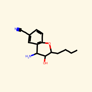 CCCCC1Oc2ccc(C#N)cc2C(N)C1O